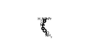 CCCOc1ccc(-c2nc(-c3ccc4c(c3)CCN(C(=O)CN)CC4)no2)cc1N